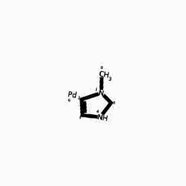 CN1C=CNC1.[Pd]